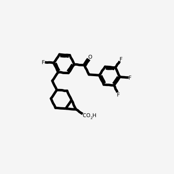 O=C(Cc1cc(F)c(F)c(F)c1)c1ccc(F)c(CC2CCC3C(C2)C3C(=O)O)c1